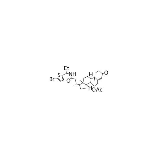 CCC(NC(=O)C[C@@H](C)C1CC[C@H]2C3[C@H](OC(C)=O)CC4=CC(=O)CCC4(C)[C@H]3CCC12C)c1ccc(Br)s1